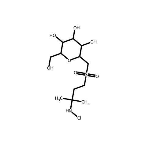 CC(C)(CCS(=O)(=O)CC1OC(CO)C(O)C(O)C1O)NCl